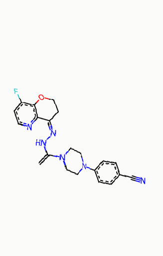 C=C(N/N=C1/CCOc2c(F)ccnc21)N1CCN(c2ccc(C#N)cc2)CC1